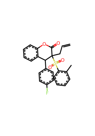 C=CCC1(S(=O)(=O)c2ccccc2C)C(=O)Oc2ccccc2C1c1ccc(F)cc1